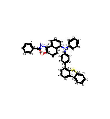 c1ccc(-c2nc3c(ccc4c(N(c5ccccc5)c5ccc(-c6cccc7c6sc6ccccc67)cc5)cccc43)o2)cc1